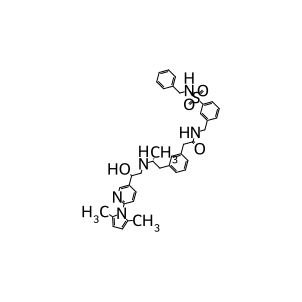 Cc1ccc(C)n1-c1ccc([C@H](O)CN[C@H](C)Cc2cccc(CC(=O)NCc3cccc(S(=O)(=O)NCc4ccccc4)c3)c2)cn1